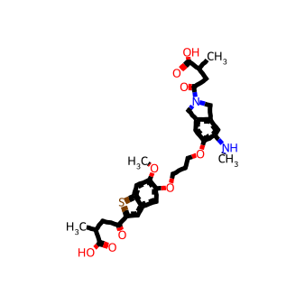 CNc1cc2c(cc1OCCCOc1cc3cc(C(=O)CC(C)C(=O)O)sc3cc1OC)CN(C(=O)CC(C)C(=O)O)C2